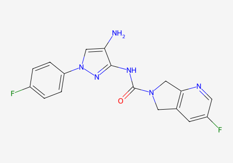 Nc1cn(-c2ccc(F)cc2)nc1NC(=O)N1Cc2cc(F)cnc2C1